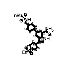 CCCCS(=O)(=O)NCc1ccc(-c2cc(C(N)=O)c3[nH]cc(C4CCN(S(=O)(=O)CC)CC4)c3c2)cc1